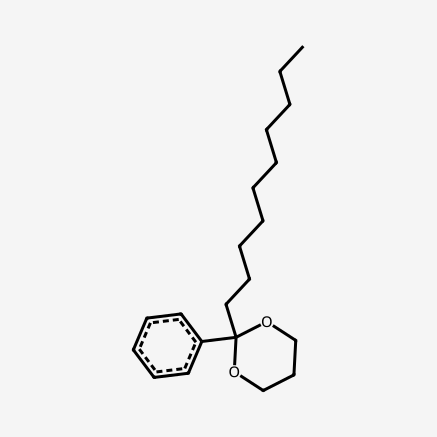 CCCCCCCCCCC1(c2ccccc2)OCCCO1